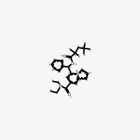 CCN(CC)C(=O)c1cc(C(OC(=O)C(C)(C)CC(C)(C)C)c2ccccc2)n2cccc2c1